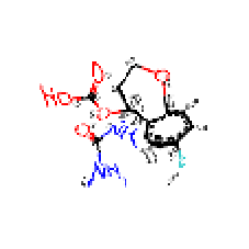 NC(=O)N[C@]1(OC(=O)O)CCOc2ccc(F)cc21